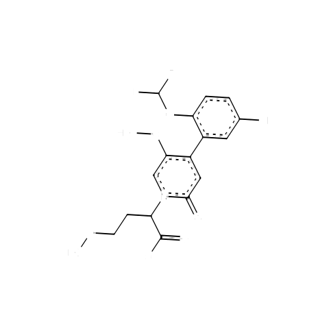 COCCC(C(=O)O)n1cc(OC)c(-c2cc(Cl)ccc2OC(F)F)cc1=O